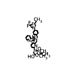 CCCCN(CC(F)(F)F)c1ccc(CN(Cc2cccc(N(CC(=O)O)C(=O)OC(C)(C)C)n2)S(=O)(=O)c2ccccn2)cc1